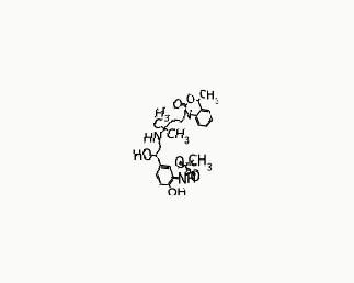 CC1OC(=O)N(CCC(C)(C)NCC(O)c2ccc(O)c(NS(C)(=O)=O)c2)c2ccccc21